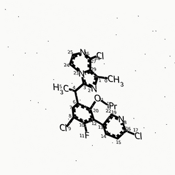 Cc1nc(C(C)c2cc(Cl)c(F)c(-c3ccc(Cl)nc3)c2OC(C)C)n2ccnc(Cl)c12